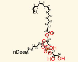 CC/C=C\C/C=C\C/C=C\CCCCCCCC(=O)OC[C@H](COP(=O)(O)OC[C@@H](O)CO)OC(=O)CCCCCCCCCCCCCCCC